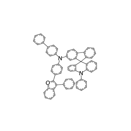 c1ccc(-c2ccc(N(c3ccc(-c4oc5ccccc5c4-c4ccccc4)cc3)c3ccc4c(c3)C3(c5ccccc5-4)c4ccccc4N(c4ccccc4)c4ccccc43)cc2)cc1